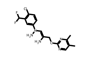 Cc1cnc(OC/C(N)=C/N(N)c2ccc(Cl)c(C(F)F)c2)nc1C